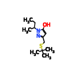 CCC(C)n1nc(CSC(C)(C)C)cc1O